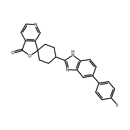 O=C1OC2(CCC(c3nc4cc(-c5ccc(F)cc5)ccc4[nH]3)CC2)c2cnccc21